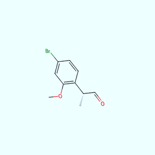 COc1cc(Br)ccc1[C@@H](C)C=O